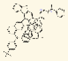 C=C(/C=C\C(C)=C(/C)c1ccccc1)N(c1ccc(C(C)(C)C)cc1)c1cc2oc3ccccc3c2c2c1C1(c3ccccc3-c3ccccc31)c1cc3c(N(c4ccc(C(C)(C)C)cc4)c4ccc(C)c(-c5ccccc5)c4)cccc3cc1-2